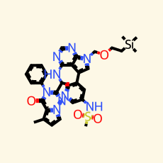 Cc1ccn2nc(C(C)Nc3ncnc4c3c(-c3cncc(NS(C)(=O)=O)c3)cn4COCC[Si](C)(C)C)n(-c3ccccc3)c(=O)c12